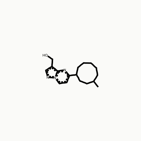 CC1CCCCCC(c2ccn3ncc(CO)c3n2)CC1